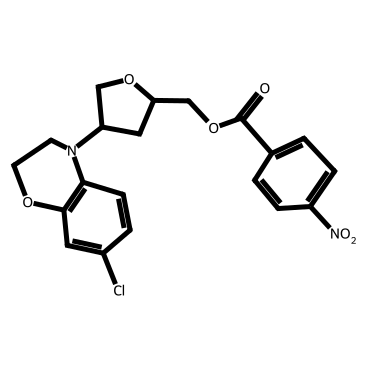 O=C(OCC1CC(N2CCOc3cc(Cl)ccc32)CO1)c1ccc([N+](=O)[O-])cc1